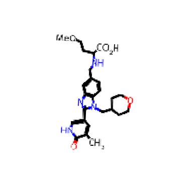 COCCC(NCc1ccc2c(c1)nc(-c1c[nH]c(=O)c(C)c1)n2CC1CCOCC1)C(=O)O